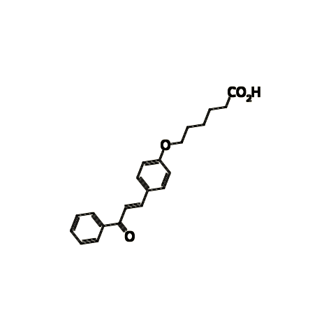 O=C(O)CCCCCOc1ccc(C=CC(=O)c2ccccc2)cc1